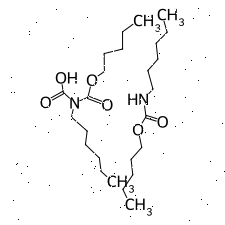 CCCCCCN(C(=O)O)C(=O)OCCCCC.CCCCCCNC(=O)OCCCCC